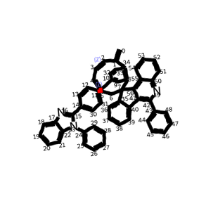 C=C1/C=C\C=C/CC2(c3cc(-c4ccc(-c5nc6ccccc6n5-c5ccccc5)cc4)ccc31)c1ccccc1-c1c(-c3ccccc3)nc3ccccc3c12